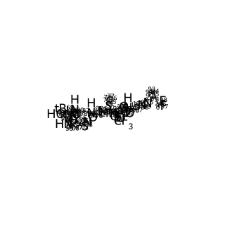 C=C(CCC1=C(CN2CCN(c3ccc(C(=O)NS(=O)(=O)c4ccc(N[C@H](CCN5CCC(C(=O)NCCCCC(=O)NC(C(=O)N6C[C@H](O)C[C@H]6C(=O)N[C@@H](C)c6ccc(-c7scnc7C)cc6)C(C)(C)C)CC5)CSc5ccccc5)c(S(=O)(=O)C(F)(F)F)c4)cc3)CC2)CCC(C)(C)C1)C(F)F